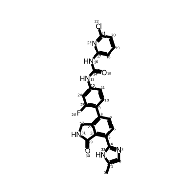 Cc1cnc(-c2ccc(-c3ccc(NC(=O)Nc4cccc(Cl)n4)cc3F)c3c2C(=O)NC3)[nH]1